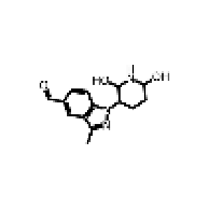 Cc1nn(C2CCC(O)NC2O)c2ccc(C=O)cc12